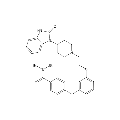 CCN(CC)C(=O)c1ccc(Cc2cccc(OCCN3CCC(n4c(=O)[nH]c5ccccc54)CC3)c2)cc1